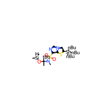 CCC[CH2][Sn]([CH2]CCC)([CH2]CCC)[c]1cn2cnc(S(=O)(=O)N(C)C(C)(O[SiH](C)C)C(C)(C)C)c2s1